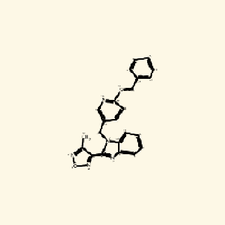 Cc1nonc1-c1nc2ccccc2n1Cc1ccc(SCc2ccccc2)nc1